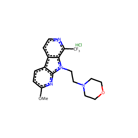 COc1ccc2c3ccnc(C(F)(F)F)c3n(CCN3CCOCC3)c2n1.Cl